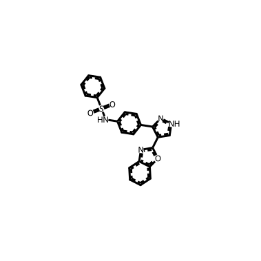 O=S(=O)(Nc1ccc(-c2n[nH]cc2-c2nc3ccccc3o2)cc1)c1ccccc1